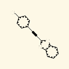 Clc1ccc(C#Cc2nc3ccccc3o2)cc1